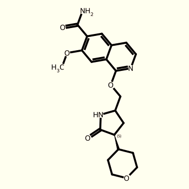 COc1cc2c(OCC3C[C@@H](C4CCOCC4)C(=O)N3)nccc2cc1C(N)=O